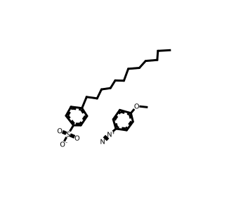 CCCCCCCCCCCCc1ccc(S(=O)(=O)[O-])cc1.COc1ccc([N+]#N)cc1